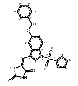 O=C1NC(=O)/C(=C\c2cn(S(=O)(=O)c3cccs3)c3ccc(OCc4ccccc4)cc23)S1